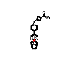 CC(C)C(=O)[C@H]1C[C@@H](CN2CCC(c3cnc(N4C5CCC4CN(C(C)C)C5)nc3)CC2)C1